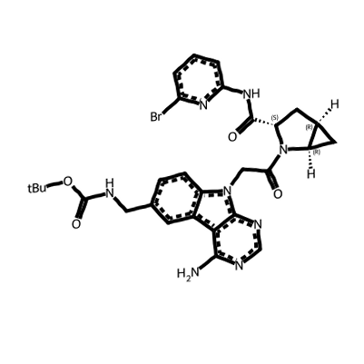 CC(C)(C)OC(=O)NCc1ccc2c(c1)c1c(N)ncnc1n2CC(=O)N1[C@@H]2C[C@@H]2C[C@H]1C(=O)Nc1cccc(Br)n1